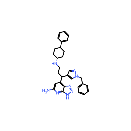 Nc1cc(C(CCN[C@H]2CC[C@H](c3ccccc3)CC2)c2cnn(Cc3ccccc3)c2)c2nn[nH]c2n1